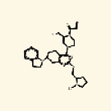 C=CC(=O)N1CCN(c2nc(OCC3CCCN3CC)nc3c2CCC(N2CCc4ccccc42)C3)CC1CC#N